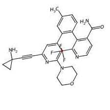 Cc1ccc(-c2c(C(N)=O)ccnc2C(F)(F)F)c(-c2cc(C#CC3(N)CC3)nc(N3CCOCC3)c2)c1